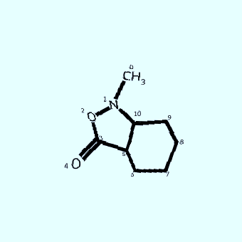 CN1OC(=O)C2CCCCC21